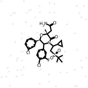 CC(C)(C)S(=O)(=O)CC(C1CC1)N1C(=O)[C@@](C)(CC(N)=O)O[C@H](c2cccc(Cl)c2)C1c1ccc(Cl)c(F)c1